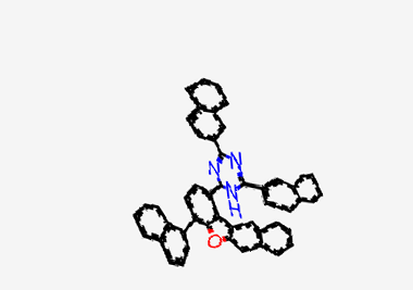 c1ccc2cc(C3=NC(c4ccc(-c5cccc6ccccc56)c5oc6cc7ccccc7cc6c45)NC(c4ccc5ccccc5c4)=N3)ccc2c1